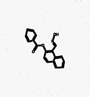 O=C(Oc1ccc2ccccc2c1C=NO)c1ccccc1